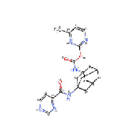 O=C(NC12CC3CC(C1)CC(NC(=O)c1ccncn1)(C3)C2)Oc1nccc(C(F)(F)F)n1